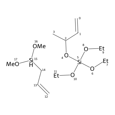 C=CC(C)O[Si](OCC)(OCC)OCC.C=CC[SiH](OC)OC